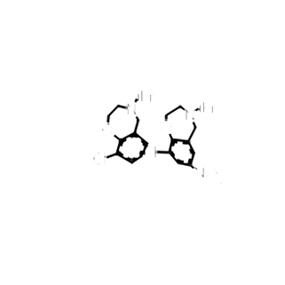 CC(C)N1CCOc2c(Cl)cc([N+](=O)[O-])cc2C1.CC(C)N1CCOc2c(Cl)cccc2C1